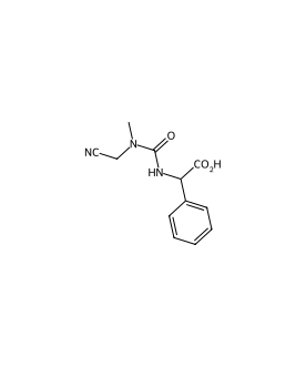 CN(CC#N)C(=O)NC(C(=O)O)c1ccccc1